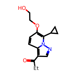 CCC(=O)c1cnn2c(C3CC3)c(OCCO)ccc12